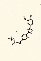 Cc1cc(C2CC2C(=O)OC(C)(C)C)ccc1C1=NN(c2ccc(F)c(C#N)c2)CS1